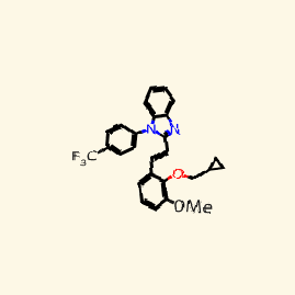 COc1cccc(C=Cc2nc3ccccc3n2-c2ccc(C(F)(F)F)cc2)c1OCC1CC1